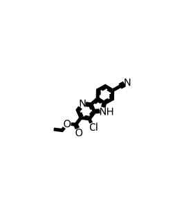 CCOC(=O)c1cnc2c([nH]c3cc(C#N)ccc32)c1Cl